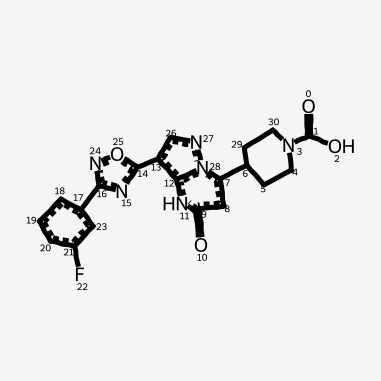 O=C(O)N1CCC(c2cc(=O)[nH]c3c(-c4nc(-c5cccc(F)c5)no4)cnn23)CC1